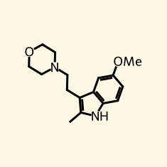 COc1ccc2[nH]c(C)c(CCN3CCOCC3)c2c1